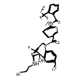 O=C(Nc1ccc(C(=O)N2CCC(F)(F)C(O)(CNCCO)c3cc(Cl)ccc32)cn1)c1ccccc1C(F)(F)F